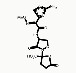 CON=C(C(=O)NC1CON(C2(C(=O)O)CCC(=O)O2)C1=O)c1csc(N)n1